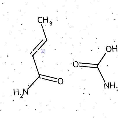 C/C=C/C(N)=O.NC(=O)O